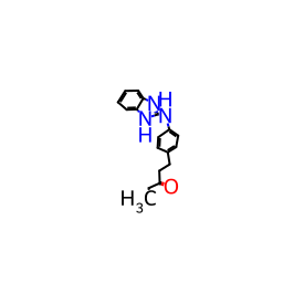 CCC(=O)CCc1ccc(Nc2nc3ccccc3[nH]2)cc1